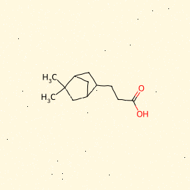 CC1(C)CC2CC1CC2CCC(=O)O